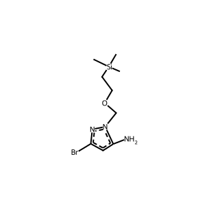 C[Si](C)(C)CCOCn1nc(Br)cc1N